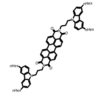 CCCCCCc1ccc2c(c1)c1cc(CCCCCC)ccc1n2CCCN1C(=O)c2ccc3c4ccc5c6c(ccc(c7ccc(c2c37)C1=O)c64)C(=O)N(CCCn1c2ccc(CCCCCC)cc2c2cc(CCCCCC)ccc21)C5=O